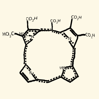 O=C(O)C1=C(C(=O)O)c2nc1cc1ccc(cc3nc(cc4c(C(=O)O)c(C(=O)O)c(c2C(=O)O)n4C(=O)O)C=C3)[nH]1